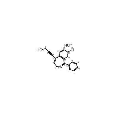 Cl.OCC#CC1=CCN=C(c2ccccc2)c2cc(Cl)ccc21